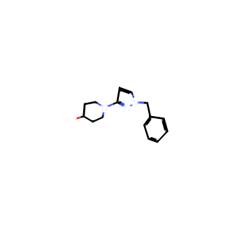 OC1CCN(c2ccn(Cc3ccccc3)n2)CC1